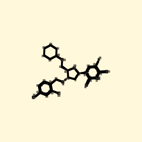 O=c1[nH]c(=O)n([C@H]2C[C@H](OCc3ccc(Cl)cc3Cl)[C@@H](COC3CCCCC3)O2)cc1F